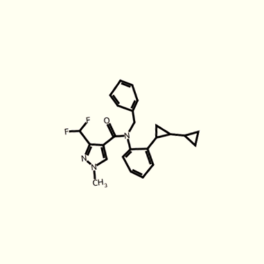 Cn1cc(C(=O)N(Cc2ccccc2)c2ccccc2C2CC2C2CC2)c(C(F)F)n1